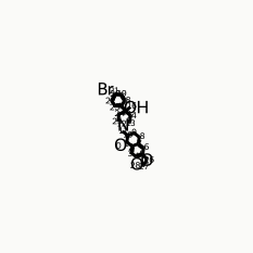 O=C1c2cc3c(cc2CCC1CN1CCC(O)(c2ccc(Br)cc2)CC1)OCO3